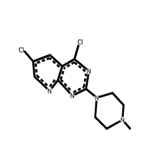 CN1CCN(c2nc(Cl)c3cc(Cl)cnc3n2)CC1